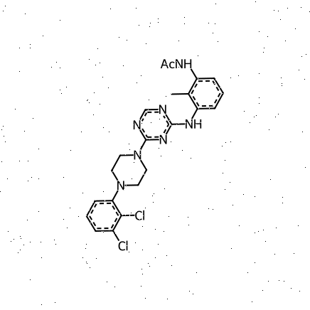 CC(=O)Nc1cccc(Nc2ncnc(N3CCN(c4cccc(Cl)c4Cl)CC3)n2)c1C